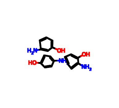 Nc1ccc(O)cc1.Nc1cccc(O)c1.Nc1ccccc1O